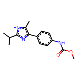 COC(=O)Nc1ccc(-c2nc(C(C)C)[nH]c2C)cc1